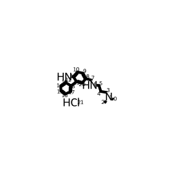 CN(C)CCCNCc1ccc2[nH]c3ccccc3c2c1.Cl